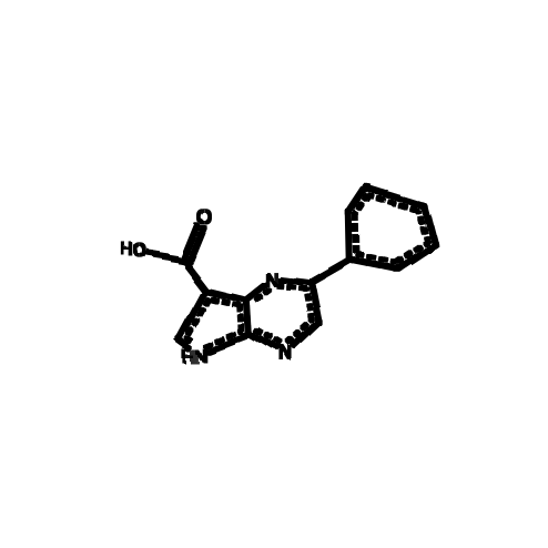 O=C(O)c1c[nH]c2ncc(-c3ccccc3)nc12